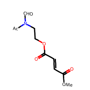 COC(=O)/C=C/C(=O)OCCN(C=O)C(C)=O